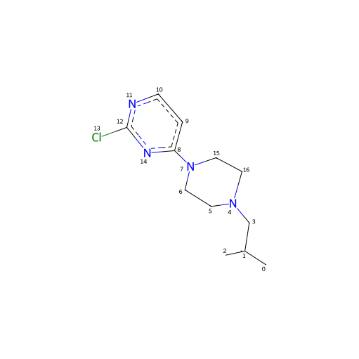 C[C](C)CN1CCN(c2ccnc(Cl)n2)CC1